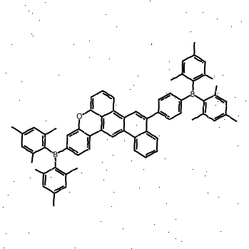 Cc1cc(C)c(B(c2ccc(-c3cc4c5cccc6c5c(cc4c4ccccc34)-c3ccc(B(c4c(C)cc(C)cc4C)c4c(C)cc(C)cc4C)cc3O6)cc2)c2c(C)cc(C)cc2C)c(C)c1